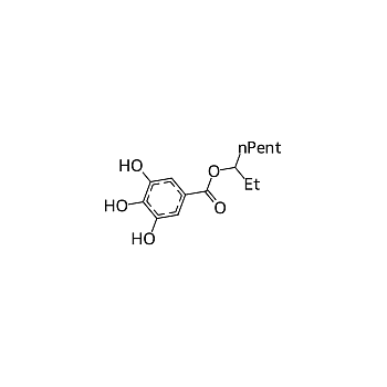 CCCCCC(CC)OC(=O)c1cc(O)c(O)c(O)c1